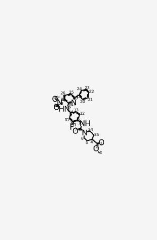 COC(=O)C1CCN(C(=O)Nc2ccc(Nc3nc(-c4ccccc4)ccc3[N+](=O)[O-])cc2F)CC1